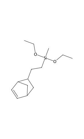 CCO[Si](C)(CCC1CC2C=CC1C2)OCC